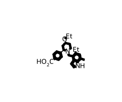 CCO[C@@H]1CCN(Cc2c(CC)cc(C)c3[nH]ccc23)[C@@H](c2ccc(C(=O)O)cc2)C1